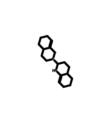 [CH]1C2=CCCCC2CCN1C1CCC2CCCC=C2N1